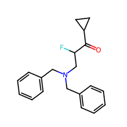 O=C(C(F)CN(Cc1ccccc1)Cc1ccccc1)C1CC1